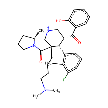 Cc1c(F)cccc1[C@H]1[C@@H](C(=O)c2ccccc2O)CNC[C@@]1(CCCCN(C)C)C(=O)N1CCC[C@H]1C(F)(F)F